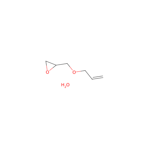 C=CCOCC1CO1.O